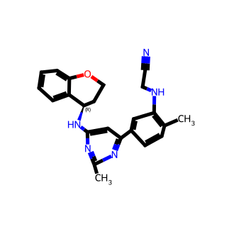 Cc1nc(N[C@@H]2CCOc3ccccc32)cc(-c2ccc(C)c(NCC#N)c2)n1